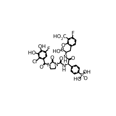 O=C(O)c1c(F)ccc2c1OB(O)C(NC(=O)[C@H](NC(=O)N1CCN(C(=O)c3cc(F)c(O)c(O)c3Cl)C1=O)c1ccc(P(=O)(O)O)cc1)C2